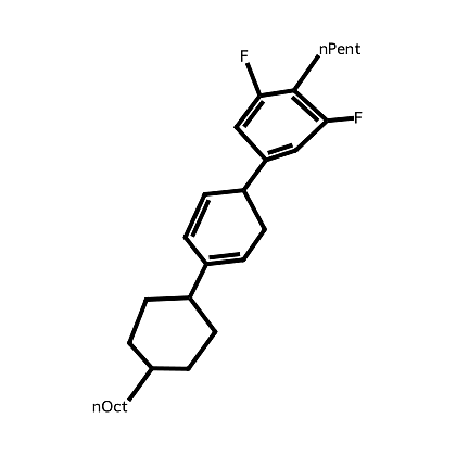 CCCCCCCCC1CCC(C2=CCC(c3cc(F)c(CCCCC)c(F)c3)C=C2)CC1